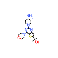 CC(C)(O)c1cc2nc(N3CCC(N)CC3)nc(N3CCOCC3)c2s1